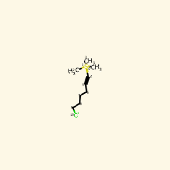 CS(C)(C)C#CCCCCCl